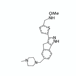 CONCc1ccc(-c2n[nH]c3c2Cc2cc(CN4CCN(C)CC4)ccc2-3)s1